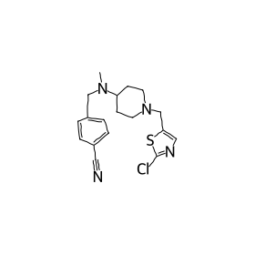 CN(Cc1ccc(C#N)cc1)C1CCN(Cc2cnc(Cl)s2)CC1